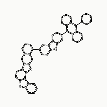 c1ccc(-c2c3ccccc3c(-c3ccc4c(c3)sc3ccc(-c5cccc6cc7c(cc56)sc5c7ccc6sc7ccccc7c65)cc34)c3ccccc23)cc1